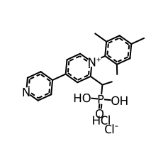 Cc1cc(C)c(-[n+]2ccc(-c3ccncc3)cc2C(C)P(=O)(O)O)c(C)c1.Cl.[Cl-]